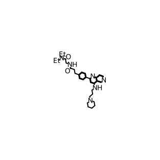 CCN(CC)C(=O)CNC(=O)CCc1ccc(-c2cc(NCCCN3CCCCC3)c3cnccc3n2)cc1